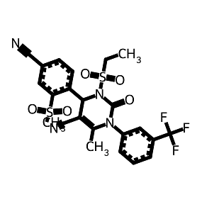 CCS(=O)(=O)N1C(=O)N(c2cccc(C(F)(F)F)c2)C(C)=C(C#N)C1c1ccc(C#N)cc1S(C)(=O)=O